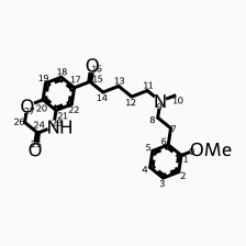 COc1ccccc1CCN(C)CCCCC(=O)c1ccc2c(c1)NC(=O)CO2